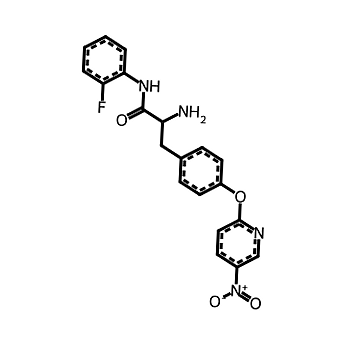 NC(Cc1ccc(Oc2ccc([N+](=O)[O-])cn2)cc1)C(=O)Nc1ccccc1F